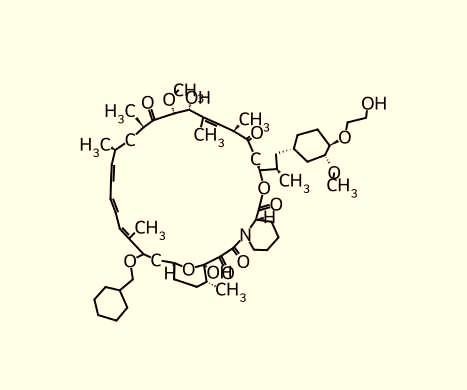 CO[C@@H]1C[C@H](C[C@@H](C)[C@@H]2CC(=O)[C@H](C)/C=C(\C)[C@@H](O)[C@@H](OC)C(=O)[C@H](C)C[C@H](C)/C=C/C=C/C=C(\C)C(OCC3CCCCC3)C[C@@H]3CC[C@@H](C)[C@@](O)(O3)C(=O)C(=O)N3CCCC[C@H]3C(=O)O2)CC[C@H]1OCCO